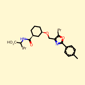 Cc1ccc(-c2nc(CO[C@@H]3CCC[C@H](C(=O)NC(C(=O)O)C(C)C)C3)c(C(C)C)o2)cc1